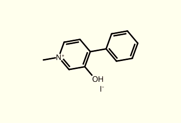 C[n+]1ccc(-c2ccccc2)c(O)c1.[I-]